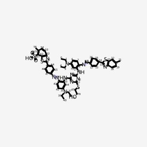 CCN(CC)c1ccc(/N=N/c2ccc(-c3nc4ccc(C)cc4s3)cc2)c(Nc2nc(Nc3cc(N(CC)CC)ccc3/N=N/c3ccc(-c4nc5ccc(C)c(S(=O)(=O)O)c5s4)cc3)nc(SCCO)n2)c1